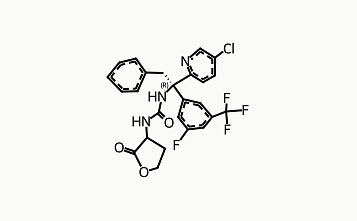 O=C(NC1CCOC1=O)N[C@](Cc1ccccc1)(c1cc(F)cc(C(F)(F)F)c1)c1ccc(Cl)cn1